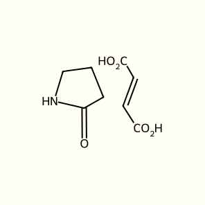 O=C(O)C=CC(=O)O.O=C1CCCN1